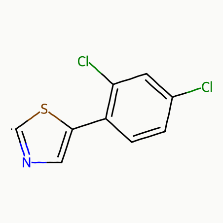 Clc1ccc(-c2cn[c]s2)c(Cl)c1